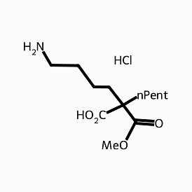 CCCCCC(CCCCN)(C(=O)O)C(=O)OC.Cl